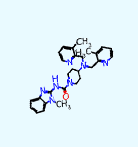 Cc1cccnc1CN(Cc1ncccc1C)C1CCN(C(=O)Nc2nc3ccccc3n2C)CC1